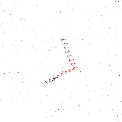 [Al+3].[Al+3].[Co+2].[Co+2].[O-2].[O-2].[O-2].[O-2].[O-2].[O-2].[O-2].[O-2].[O-2].[Sn+4].[Sn+4]